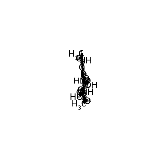 CCC(=O)NCCOCCOCC(=O)N[C@@H](CCC(=O)N[C@@H](CCC(C)=O)C(=O)O)C(=O)O